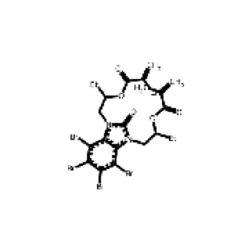 C=C(C)C(=O)OC(CC)Cn1c(=O)n(CC(CC)OC(=O)C(=C)C)c2c(Br)c(Br)c(Br)c(Br)c21